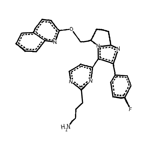 NCCCc1nccc(-c2c(-c3ccc(F)cc3)nc3n2C(COc2ccc4ccccc4n2)CC3)n1